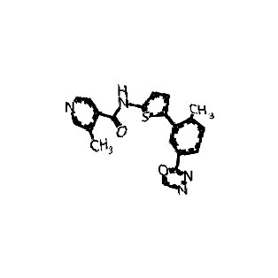 Cc1cnccc1C(=O)Nc1ccc(-c2cc(-c3nnco3)ccc2C)s1